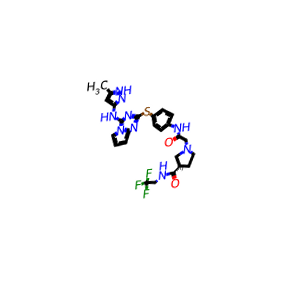 Cc1cc(Nc2nc(Sc3ccc(NC(=O)CN4CC[C@@H](C(=O)NCC(F)(F)F)C4)cc3)nc3cccn23)n[nH]1